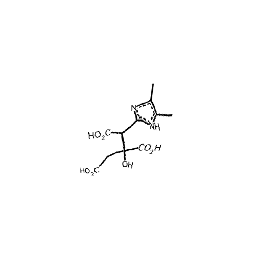 Cc1nc(C(C(=O)O)C(O)(CC(=O)O)C(=O)O)[nH]c1C